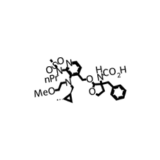 CCCN(c1nccc(COC2OCCC2(Cc2ccccc2)NC(=O)O)c1N(CCOC)C[C@H]1C[C@@H]1C)S(C)(=O)=O